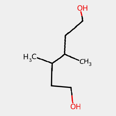 CC(CCO)C(C)CCO